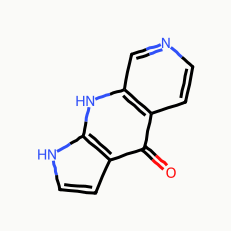 O=c1c2ccncc2[nH]c2[nH]ccc12